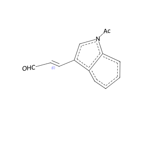 CC(=O)n1cc(/C=C/C=O)c2ccccc21